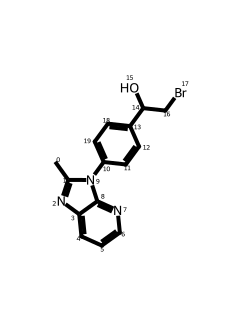 Cc1nc2cccnc2n1-c1ccc(C(O)CBr)cc1